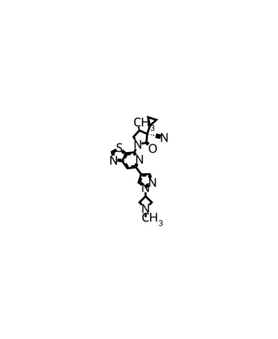 C[C@@H]1CN(c2nc(-c3cnn(C4CN(C)C4)c3)cc3ncsc23)C(=O)[C@]1(C#N)C1CC1